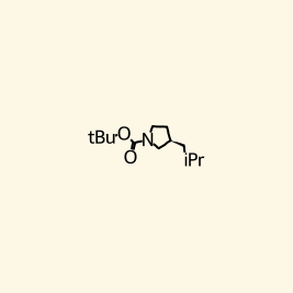 CC(C)C[C@@H]1CCN(C(=O)OC(C)(C)C)C1